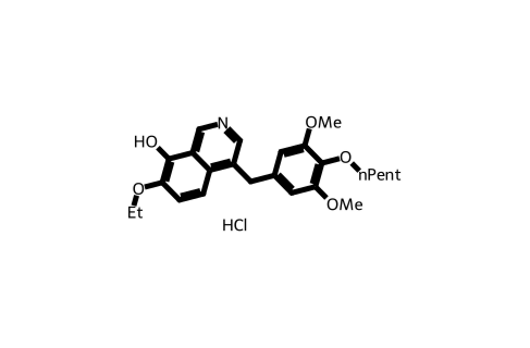 CCCCCOc1c(OC)cc(Cc2cncc3c(O)c(OCC)ccc23)cc1OC.Cl